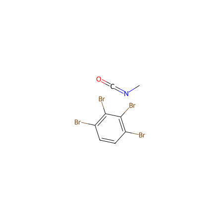 Brc1ccc(Br)c(Br)c1Br.CN=C=O